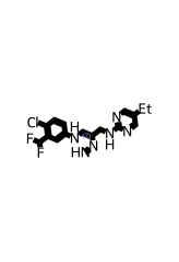 CCc1cnc(NC/C(=C/Nc2ccc(Cl)c(C(F)F)c2)N=N)nc1